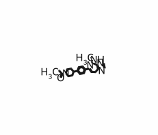 CCC(=O)N1CCC(c2ccc(C3=CCc4nccnc4C(NC)=N3)cc2)CC1